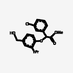 CCCc1cc(CO)ccc1OC(C(=O)OC)c1cccc(Cl)c1